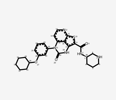 O=C(N[C@@H]1CCCNC1)c1sc2nccc3c2c1NC(=O)N3c1cccc(OC2CCCCC2)c1